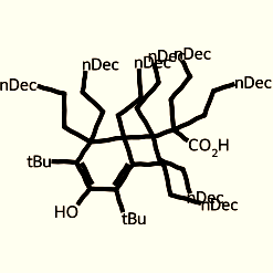 CCCCCCCCCCCCC1=C(C(C)(C)C)C(O)=C(C(C)(C)C)C(CCCCCCCCCCCC)(CCCCCCCCCCCC)C1(CCCCCCCCCCCC)C(CCCCCCCCCCCC)(CCCCCCCCCCCC)C(CCCCCCCCCCCC)(CCCCCCCCCCCC)C(=O)O